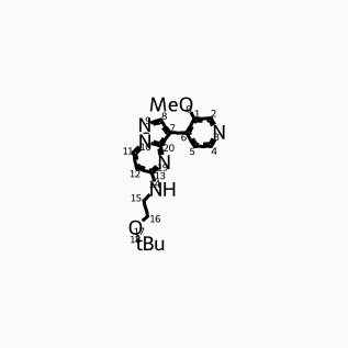 COc1cnccc1-c1cnn2ccc(NCCOC(C)(C)C)nc12